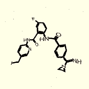 N=C(c1ccc(C(=O)Nc2ccc(F)cc2C(=O)Nc2ccc(CI)cn2)cc1)N1CC1